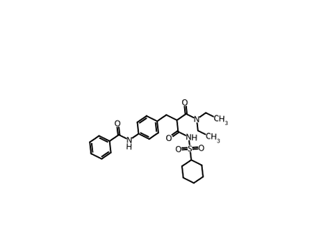 CCN(CC)C(=O)C(Cc1ccc(NC(=O)c2ccccc2)cc1)C(=O)NS(=O)(=O)C1CCCCC1